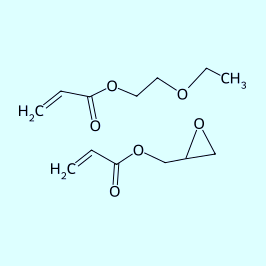 C=CC(=O)OCC1CO1.C=CC(=O)OCCOCC